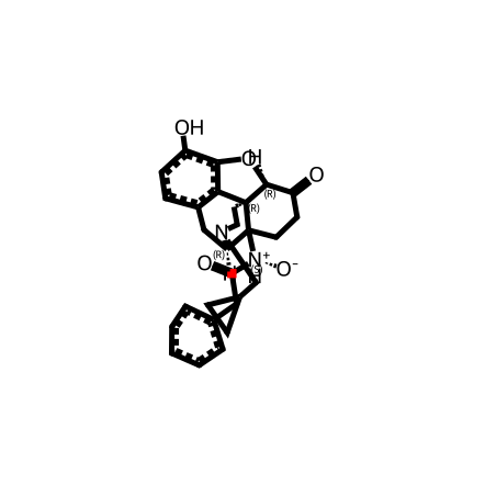 O=C1CCC2([N@H+]([O-])C(=O)Cc3ccccc3)[C@H]3Cc4ccc(O)c5c4[C@@]2(CCN3CC2CC2)[C@H]1O5